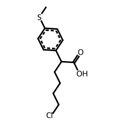 CSc1ccc(C(CCCCCl)C(=O)O)cc1